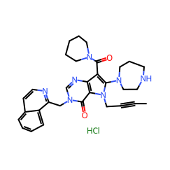 CC#CCn1c(N2CCCNCC2)c(C(=O)N2CCCCC2)c2ncn(Cc3nccc4ccccc34)c(=O)c21.Cl